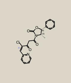 C[C@H]1[C@@H](c2ccccc2)OC(=O)N1C(=O)CC(=O)/C(Cl)=C\c1ccccn1